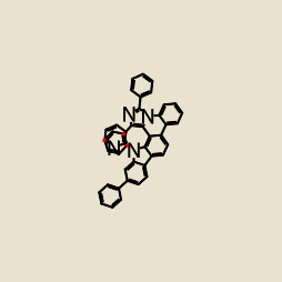 c1ccc(-c2ccc3c4ccc5c6ccccc6n6c(-c7ccccc7)nc(-c7ccccc7)c6c5c4n(-c4ccccn4)c3c2)cc1